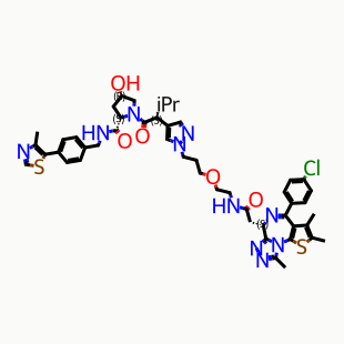 Cc1ncsc1-c1ccc(CNC(=O)[C@@H]2C[C@@H](O)CN2C(=O)[C@H](c2cnn(CCCOCCNC(=O)C[C@@H]3N=C(c4ccc(Cl)cc4)c4c(sc(C)c4C)-n4c(C)nnc43)c2)C(C)C)cc1